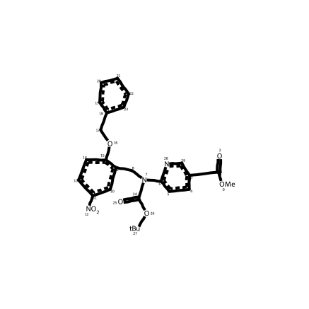 COC(=O)c1ccc(N(Cc2cc([N+](=O)[O-])ccc2OCc2ccccc2)C(=O)OC(C)(C)C)nc1